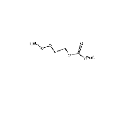 CCCCCC(=O)OCCOOC(C)(C)C